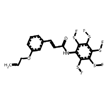 C=CCOc1cccc(C=CC(=O)Nc2c(SF)c(SF)c(SF)c(SF)c2SF)c1